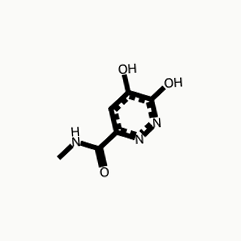 CNC(=O)c1cc(O)c(O)nn1